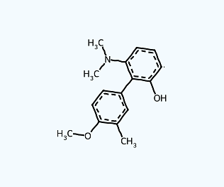 COc1ccc(-c2c(O)[c]ccc2N(C)C)cc1C